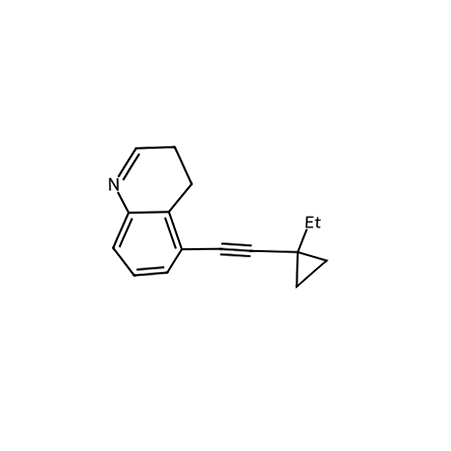 CCC1(C#Cc2cccc3c2CCC=N3)CC1